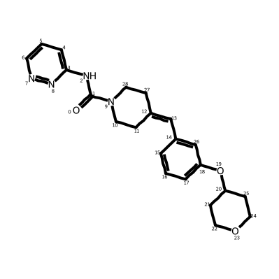 O=C(Nc1cccnn1)N1CCC(=Cc2cccc(OC3CCOCC3)c2)CC1